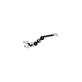 CCCCCCCCCc1ccc(-c2ncc(-c3ccc(OC(=O)CC(C)CCC)cc3)cn2)cc1